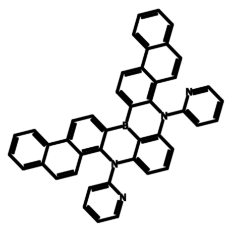 c1ccc(N2c3cccc4c3B(c3ccc5c(ccc6ccccc65)c32)c2ccc3c(ccc5ccccc53)c2N4c2ccccn2)nc1